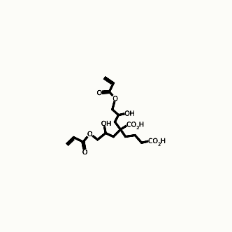 C=CC(=O)OCC(O)CC(CCCC(=O)O)(CC(O)COC(=O)C=C)C(=O)O